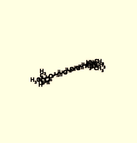 CN[C@@H](C)c1cc(OCCCCCCOCCOCCOCCCCCC(=O)NC(C)C(C)(C)C)ccc1F